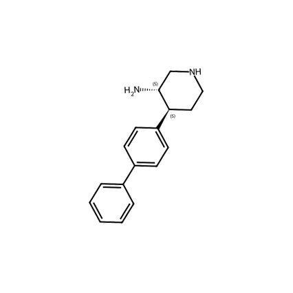 N[C@@H]1CNCC[C@H]1c1ccc(-c2ccccc2)cc1